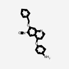 [C-]#[N+]c1cc2c(Oc3ccc(N)cc3)ccnc2cc1OCc1ccccc1